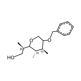 C[C@H](CO)C1OCC(OCc2ccccc2)[C@@H](C)[C@@H]1C